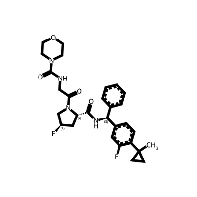 CC1(c2ccc([C@@H](NC(=O)[C@@H]3C[C@@H](F)CN3C(=O)CNC(=O)N3CCOCC3)c3ccccc3)cc2F)CC1